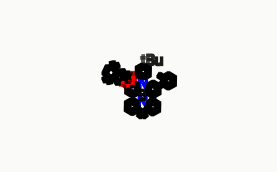 Cc1ccccc1-c1cc2c3c(c1)N(c1ccc(C(C)(C)C)cc1-c1ccccc1)c1c(ccc4c1oc1cc5c(cc14)C(C)(C)CCC5(C)C)B3N1c3ccccc3C(C)(C)c3cccc-2c31